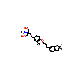 NC(CO)(CO)CCc1ccc(OCCCc2ccc3c(c2)CC(F)(F)C3)c(C(F)(F)F)c1